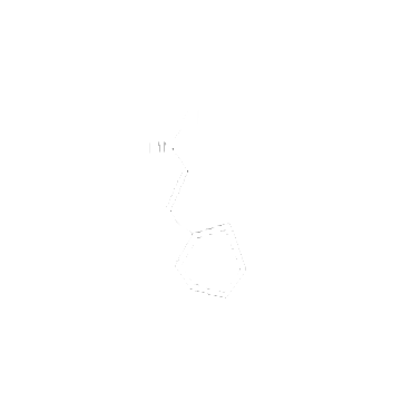 ClNC=Cc1ccccc1